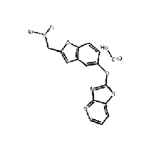 CCN(CC)Cc1cc2cc(Oc3nc4ncccc4s3)ccc2o1.O=CO